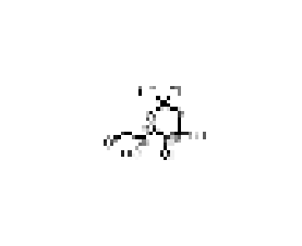 OC[C@@H](O)[C@H]1OC(O)(Cl)C[C@@H](O)[C@H]1O